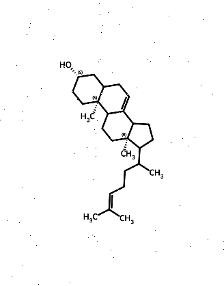 CC(C)=CCCC(C)C1CCC2C3=CCC4C[C@@H](O)CC[C@]4(C)C3CC[C@@]21C